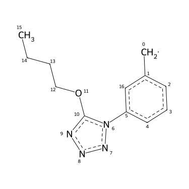 [CH2]c1cccc(-n2nnnc2OCCCC)c1